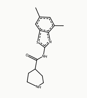 Cc1cc(C)c2nc(NC(=O)C3CCNCC3)sc2c1